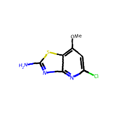 COc1cc(Cl)nc2nc(N)sc12